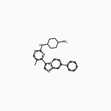 Cc1cnc(NC2CCC(N)CC2)nc1-c1cnc2cc(-c3ccccc3)ccn12